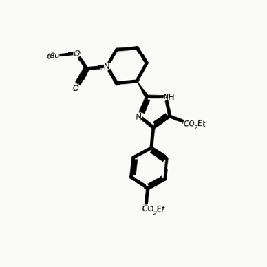 CCOC(=O)c1ccc(-c2nc([C@@H]3CCCN(C(=O)OC(C)(C)C)C3)[nH]c2C(=O)OCC)cc1